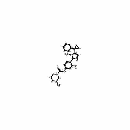 Cn1c(-c2ccc(NC(=O)N3CCCC(O)C3)cc2Cl)nnc1C1(c2ccccc2)CC1